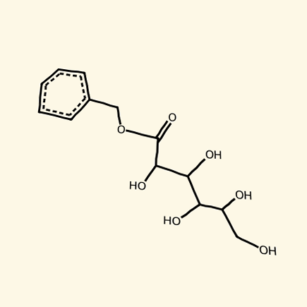 O=C(OCc1ccccc1)C(O)C(O)C(O)C(O)CO